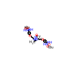 Cc1cn(CCCCOc2ccc(C(=N)NC(=O)OC(C)(C)C)cc2)/c(=N\C(=O)C(F)(F)F)n1CCCCOc1ccc(C(=N)NC(=O)OC(C)(C)C)cc1